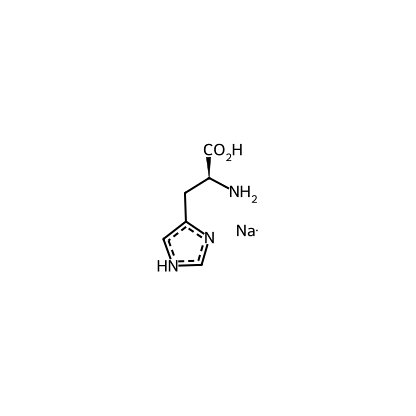 N[C@@H](Cc1c[nH]cn1)C(=O)O.[Na]